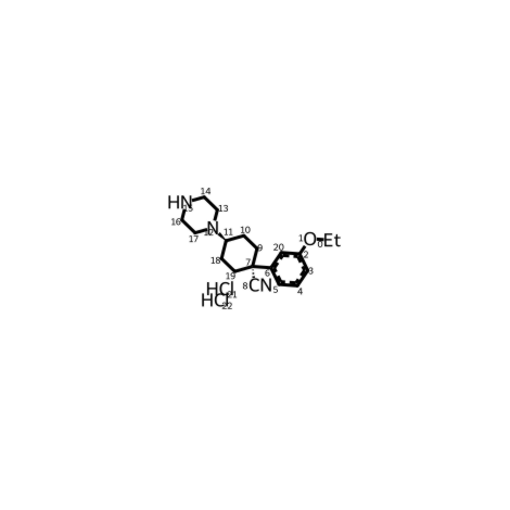 CCOc1cccc([C@]2(C#N)CC[C@H](N3CCNCC3)CC2)c1.Cl.Cl